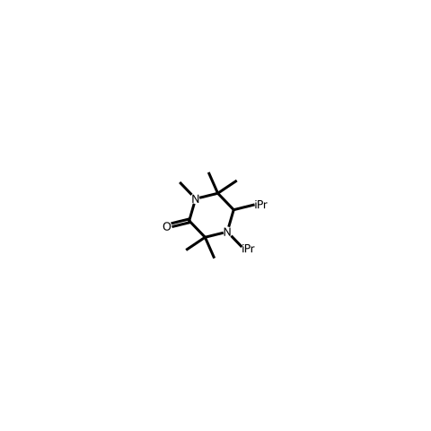 CC(C)C1N(C(C)C)C(C)(C)C(=O)N(C)C1(C)C